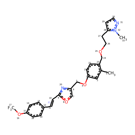 Cc1cc(OCc2coc(/C=C/c3ccc(OC(F)(F)F)cc3)n2)ccc1COCCc1ccnn1C